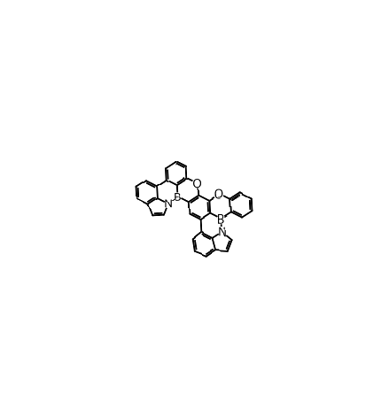 c1ccc2c(c1)Oc1c3c(cc4c1B2n1ccc2cccc-4c21)B1c2c(cccc2-c2cccc4ccn1c24)O3